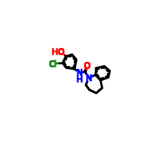 O=C(Nc1ccc(O)c(Cl)c1)N1CCCCc2ccccc21